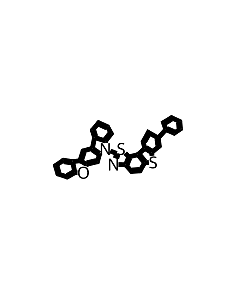 c1ccc(-c2ccc3c(c2)sc2ccc4nc(-n5c6ccccc6c6cc7c(cc65)oc5ccccc57)sc4c23)cc1